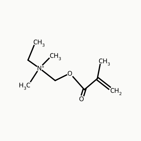 C=C(C)C(=O)OC[N+](C)(C)CC